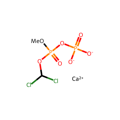 COP(=O)(OC(Cl)Cl)OP(=O)([O-])[O-].[Ca+2]